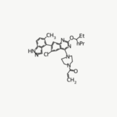 C=CC(=O)N1CCN(c2nc(OC(CC)CCC)nc3cc(-c4c(C)ccc5[nH]ncc45)c(Cl)cc23)CC1